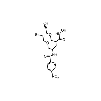 C#CCOCC(CC(COCOCC)NC(=O)c1ccc([N+](=O)[O-])cc1)C(=O)NO